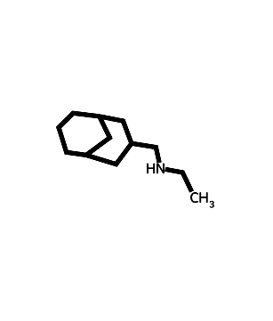 CCNCC1CC2CCCC(C2)C1